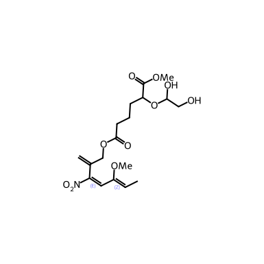 C=C(COC(=O)CCCC(OC(O)CO)C(=O)OC)/C(=C\C(=C\C)OC)[N+](=O)[O-]